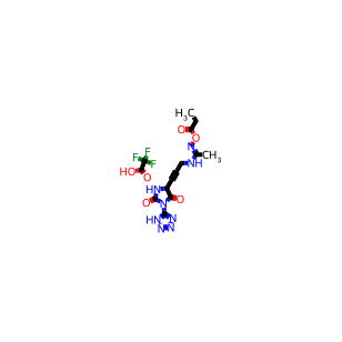 CCC(=O)ON=C(C)NCC#CC1NC(=O)N(c2nnn[nH]2)C1=O.O=C(O)C(F)(F)F